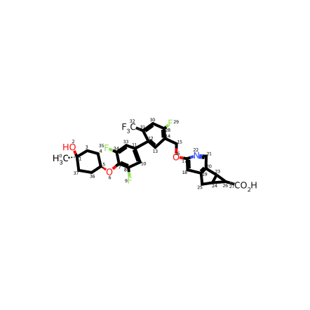 C[C@]1(O)CC[C@@H](Oc2c(F)cc(-c3cc(COc4cc5c(cn4)C4C(C5)C4C(=O)O)c(F)cc3C(F)(F)F)cc2F)CC1